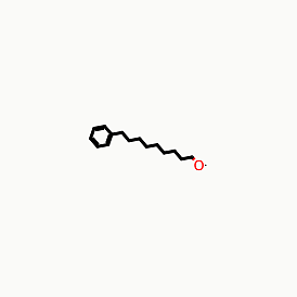 [O]CCCCCCCCCc1ccccc1